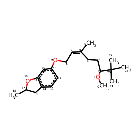 COC(CCC(C)=CCOc1ccc2c(c1)OC(C)C2)C(C)(C)C